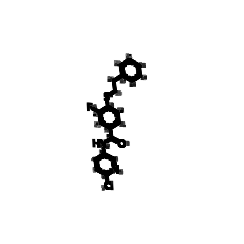 O=C(Nc1ccc(Cl)nc1)c1ccc(SCCc2ccccc2)c(F)c1